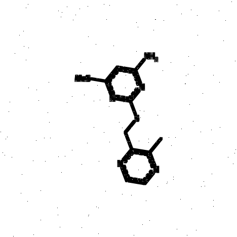 CSc1cc(N)nc(SCc2nccnc2C)n1